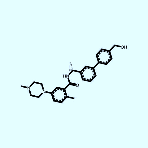 Cc1ccc(N2CCN(C)CC2)cc1C(=O)N[C@H](C)c1cccc(-c2ccc(CO)cc2)c1